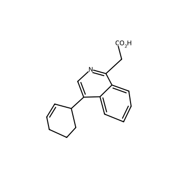 O=C(O)Cc1ncc(C2C=CCCC2)c2ccccc12